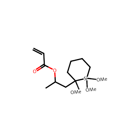 C=CC(=O)OC(C)CC1(OC)CCCC[Si]1(OC)OC